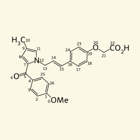 COc1ccc(C(=O)c2cc(C)cn2CC=Cc2ccc(OCC(=O)O)cc2)cc1